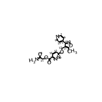 Cc1onc(-c2ccncc2)c1COc1ccc(C(=O)OCC(N)=O)nn1